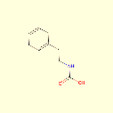 O=C(O)NCCC1=CCC=CC1